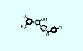 O=C(c1ccc(Cl)cc1)N1CCN([C@@H]2CN(c3cc(C(F)(F)F)cc(C(F)(F)F)c3)C[C@H]2O)CC1